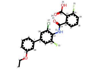 CCOc1cccc(-c2cc(F)c(NC(=O)c3cccc(F)c3C(=O)O)c(Cl)c2)c1